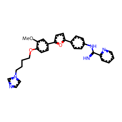 COc1cc(-c2ccc(-c3ccc(NC(=N)c4ccccn4)cc3)o2)ccc1OCCCCn1ccnc1